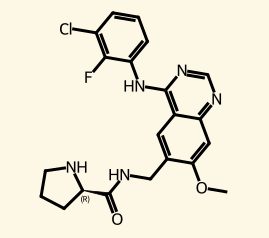 COc1cc2ncnc(Nc3cccc(Cl)c3F)c2cc1CNC(=O)[C@H]1CCCN1